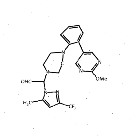 COc1ncc(-c2ccccc2N2CCN(C(C=O)n3nc(C(F)(F)F)cc3C)CC2)cn1